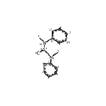 CN(c1ccccc1)[S+]([O-])N(C)c1ccccc1